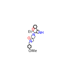 CCC(=O)C([C@@H]1CNC[C@@H]1c1ccccc1)N1CCC2(CCN(Cc3ccc(OC)cc3)C2=O)CC1